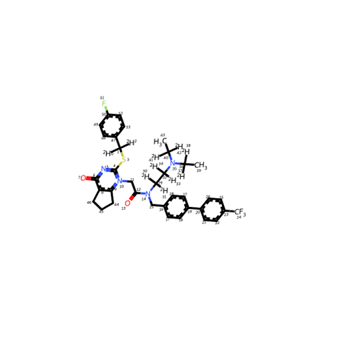 [2H]C([2H])(Sc1nc(=O)c2c(n1CC(=O)N(Cc1ccc(-c3ccc(C(F)(F)F)cc3)cc1)C([2H])([2H])C([2H])([2H])N(C([2H])([2H])C)C([2H])([2H])C)CCC2)c1ccc(F)cc1